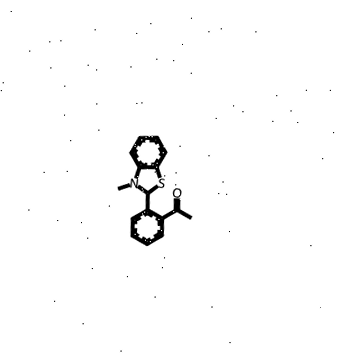 CC(=O)c1ccccc1C1Sc2ccccc2N1C